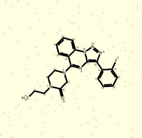 CCCN1CCN(c2nc3c(-c4ccccc4F)nnn3c3ccccc23)CC1=O